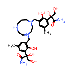 Cc1cc(CN2CCCNCCN(Cc3cc(C)cc(C(O)(CO)C(N)=O)c3O)CC2)c(O)c(C(O)(CO)C(N)=O)c1